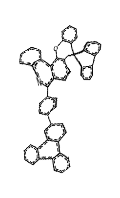 c1ccc2c(c1)Oc1c(ccc3c(-c4ccc(-c5ccc6c7ccccc7c7ccccc7c6c5)cc4)nc4ccccc4c13)C21c2ccccc2-c2ccccc21